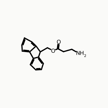 NCCC(=O)OCC1c2ccccc2-c2ccccc21